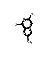 Cc1cn2cc(C)nc2c(Cl)n1